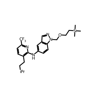 CC(C)CCc1ccc(C(F)(F)F)nc1Nc1ccc2c(cnn2COCC[Si](C)(C)C)c1